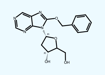 OCC1O[C@@H](n2c(OCc3ccccc3)nc3cncnc32)C[C@H]1O